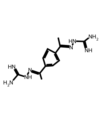 C/C(=N\NC(=N)N)c1ccc(/C(C)=N/NC(=N)N)cc1